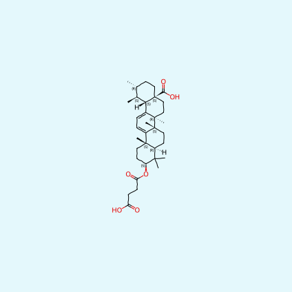 C[C@H]1[C@H](C)CC[C@]2(C(=O)O)CC[C@]3(C)C(=CC=C4[C@@]5(C)CC[C@H](OC(=O)CCC(=O)O)C(C)(C)[C@@H]5CC[C@]43C)[C@H]12